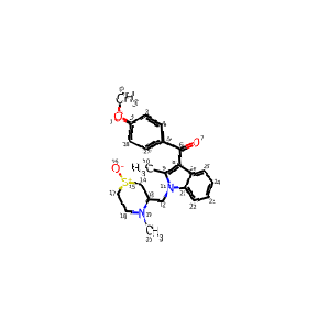 COc1ccc(C(=O)c2c(C)n(CC3C[S+]([O-])CCN3C)c3ccccc23)cc1